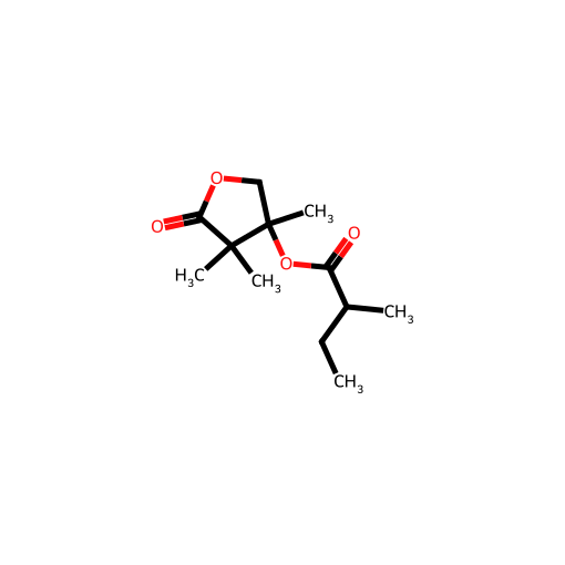 CCC(C)C(=O)OC1(C)COC(=O)C1(C)C